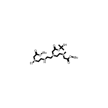 CCN(CCNCCN(CCN(C)CC(=O)OC(C)(C)C)CC(=O)OC(C)(C)S)CC(=O)OC(C)(C)C